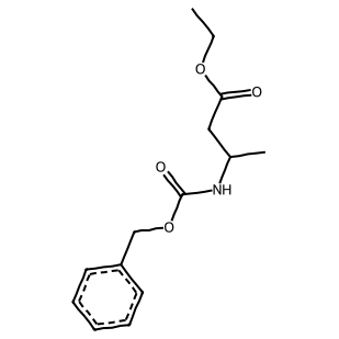 CCOC(=O)CC(C)NC(=O)OCc1ccccc1